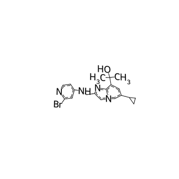 CC(C)(O)c1cc(C2CC2)cn2cc(CNc3ccnc(Br)c3)nc12